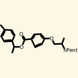 CCCCCC(C)COc1ccc(C(=O)OC(C)c2ccc(C)cc2)cc1